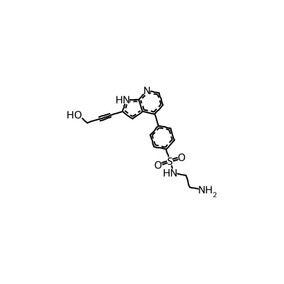 NCCNS(=O)(=O)c1ccc(-c2ccnc3[nH]c(C#CCO)cc23)cc1